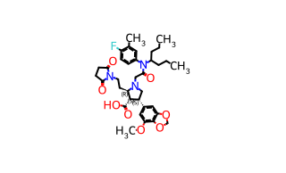 CCCC(CCC)N(C(=O)CN1C[C@H](c2cc(OC)c3c(c2)OCO3)[C@H](C(=O)O)[C@H]1CCN1C(=O)CCC1=O)c1ccc(F)c(C)c1